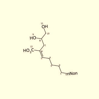 CCCCCCCCCCCCCC=C(CC(O)CO)C(=O)O